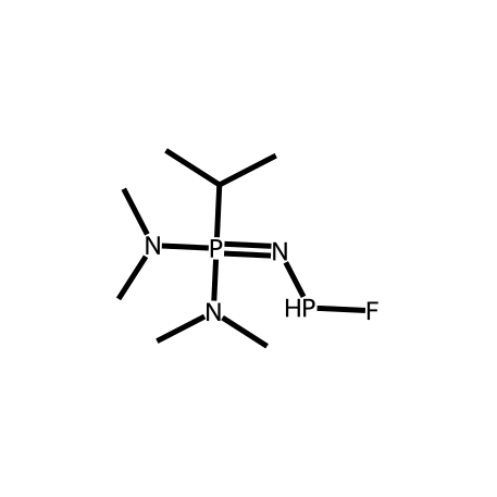 CC(C)P(=NPF)(N(C)C)N(C)C